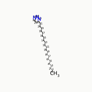 CCCCCCCCCCCCCCCCCCCCCCc1ccnnn1